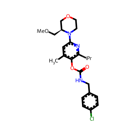 COC[C@H]1COCCN1c1cc(C)c(OC(=O)NCc2ccc(Cl)cc2)c(C(C)C)n1